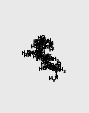 CC(C)[C@H](NC(=O)[C@H](CC(N)=O)NC(=O)[C@@H](NC(=O)[C@H](C)NC(=O)[C@H](Cc1ccccc1)NC(=O)[C@@H](N)CCCCN)[C@@H](C)O)C(=O)N[C@H](C(=O)N[C@@H](CCCNC(=N)N)C(=O)N[C@@H](CCCCN)C(=O)N[C@@H](CS)C(=O)N[C@H](C(=O)N[C@H](C(=O)N[C@@H](Cc1c[nH]cn1)C(=O)O)[C@@H](C)O)C(C)C)C(C)C